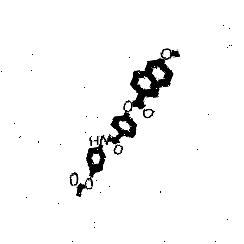 COc1ccc2cc(C(=O)Oc3ccc(C(=O)Nc4ccc(OC(C)=O)cc4)cc3)ccc2c1